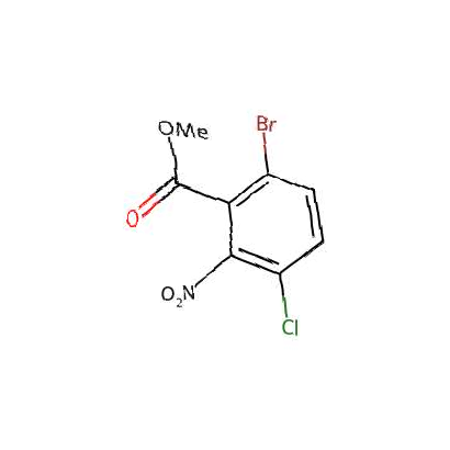 COC(=O)c1c(Br)ccc(Cl)c1[N+](=O)[O-]